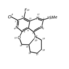 CSc1nc2c3c(nc(Cl)c(F)c3n1)OCC1CCCCN21